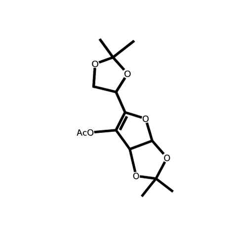 CC(=O)OC1=C(C2COC(C)(C)O2)OC2OC(C)(C)OC12